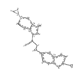 O=C(COc1ccc2cc(Cl)ccc2c1)c1c[nH]c2cc(C3CC3)ccc12